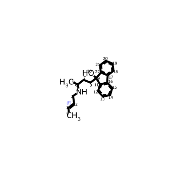 C/C=C/CNC(C)CCC1(O)c2ccccc2-c2ccccc21